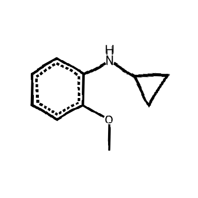 COc1ccccc1NC1CC1